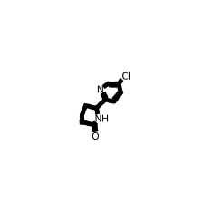 O=C1CCCC(c2ccc(Cl)cn2)N1